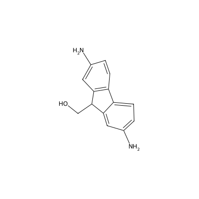 Nc1ccc2c(c1)C(CO)c1cc(N)ccc1-2